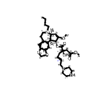 CCCCN1CCc2cc3c(cc2[C@@H]2[C@H](OC(=O)[C@@](O)(C/C=C/CN4CCNCC4)CC(=O)OC)C(OC)=C[C@@H]21)OCO3